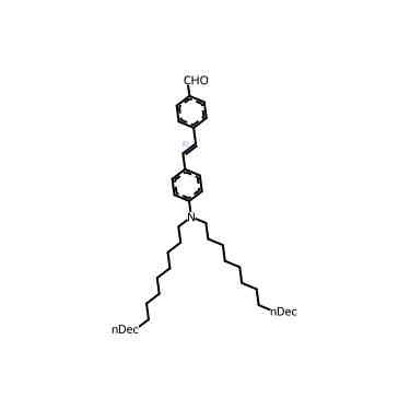 CCCCCCCCCCCCCCCCCCN(CCCCCCCCCCCCCCCCCC)c1ccc(/C=C/c2ccc(C=O)cc2)cc1